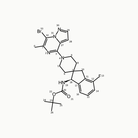 Cc1nc(N2CCC3(CC2)Cc2c(F)cccc2[C@H]3NC(=O)OC(C)(C)C)c2ccnn2c1Br